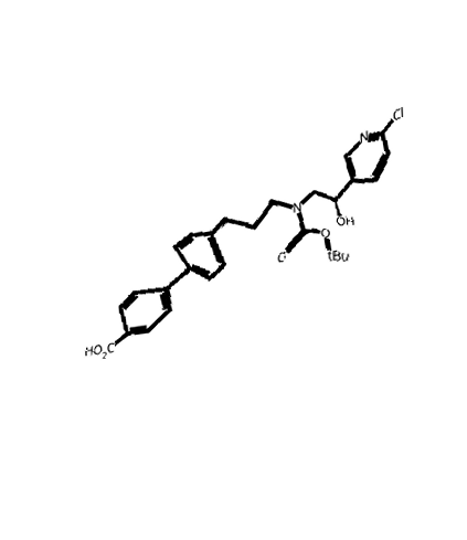 CC(C)(C)OC(=O)N(CCCc1ccc(-c2ccc(C(=O)O)cc2)cc1)C[C@H](O)c1ccc(Cl)nc1